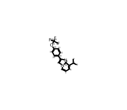 CC(C)c1cccn2cc(-c3ccc(OC(F)(F)F)cc3)nc12